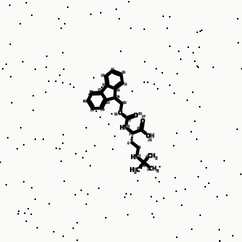 CC(C)(C)NCC[C@H](NC(=O)OCC1c2ccccc2-c2ccccc21)C(=O)O